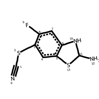 N#CSc1cc2c(cc1F)NC(N)S2